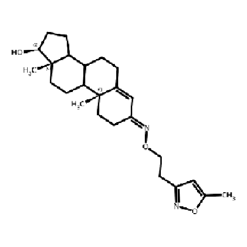 Cc1cc(CCON=C2C=C3CCC4C(CC[C@@]5(C)C4CC[C@@H]5O)[C@@]3(C)CC2)no1